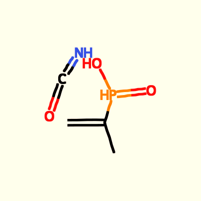 C=C(C)[PH](=O)O.N=C=O